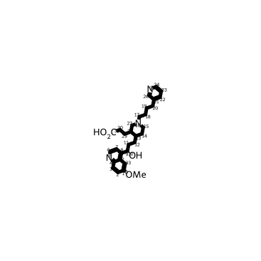 COc1ccc2nccc([C@@H](O)CCC3CCN(CCCCc4cccnc4)CC3CCC(=O)O)c2c1